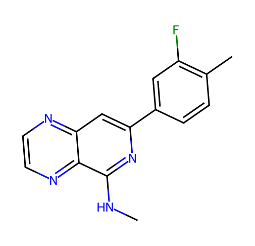 CNc1nc(-c2ccc(C)c(F)c2)cc2nccnc12